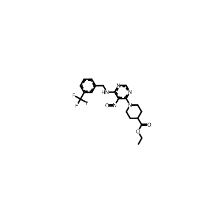 CCOC(=O)C1CCN(c2ncnc(NCc3cccc(C(F)(F)F)c3)c2N=O)CC1